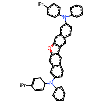 CC(C)C1=CCC(N(c2ccccc2)c2ccc3cc4c(cc3c2)oc2cc3cc(N(c5ccccc5)c5ccc(C(C)C)cc5)ccc3cc24)C=C1